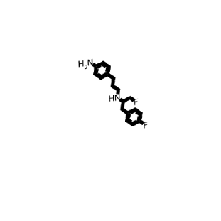 Nc1ccc(CCCNC(CF)Cc2ccc(F)cc2)cc1